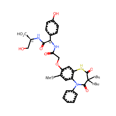 CCCCC1(CCCC)C(=O)[SH]c2cc(OCC(=O)N[C@@H](C(=O)N[C@@H](CO)C(=O)O)c3ccc(O)cc3)c(SC)cc2N(c2ccccc2)C1=O